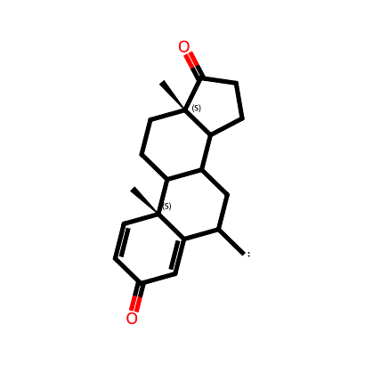 [CH]C1CC2C(CC[C@]3(C)C(=O)CCC23)[C@@]2(C)C=CC(=O)C=C12